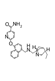 CC[C@H]1C[N@@]2CCC1C[C@H]2CNCc1ccc(Oc2ccc(C(N)=O)cn2)c2ccccc12